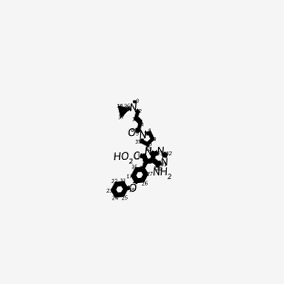 CN(CC=CC(=O)N1CC[C@@H](n2c(C(=O)O)c(-c3ccc(Oc4ccccc4)cc3)c3c(N)ncnc32)C1)C1CC1